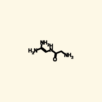 NCC(=O)NC=C(N)N